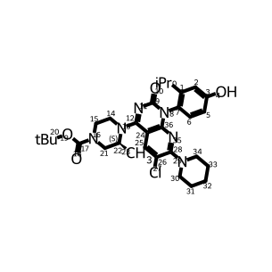 CC(C)c1cc(O)ccc1-n1c(=O)nc(N2CCN(C(=O)OC(C)(C)C)C[C@@H]2C)c2cc(Cl)c(N3CCCCC3)nc21